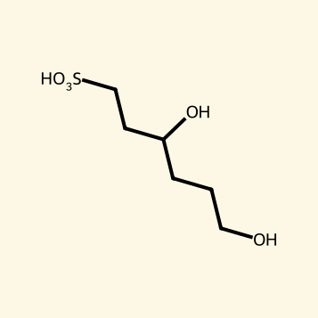 O=S(=O)(O)CCC(O)CCCO